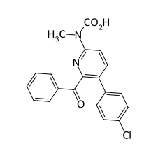 CN(C(=O)O)c1ccc(-c2ccc(Cl)cc2)c(C(=O)c2ccccc2)n1